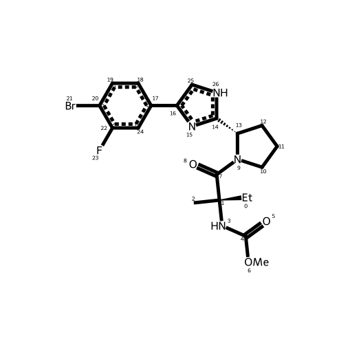 CC[C@](C)(NC(=O)OC)C(=O)N1CCC[C@H]1c1nc(-c2ccc(Br)c(F)c2)c[nH]1